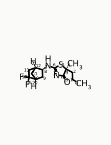 CCC[C@]1(C)SC(N[C@H]2C[C@H]3C[C@@H]2CC3(F)F)=NC1=O